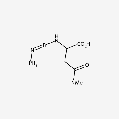 CNC(=O)CC(N/B=N/P)C(=O)O